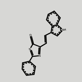 O=C1N=C(c2ccccc2)N=C1C=Cc1c[nH]c2ccccc12